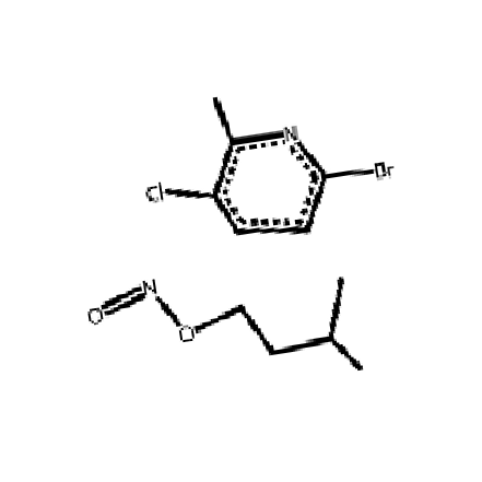 CC(C)CCON=O.Cc1nc(Br)ccc1Cl